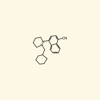 N#Cc1ccc(N2CCCCN2CC2CCCCC2)c2ccccc12